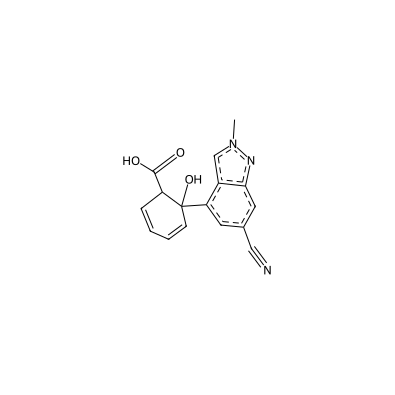 Cn1cc2c(C3(O)C=CC=CC3C(=O)O)cc(C#N)cc2n1